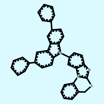 c1ccc(-c2ccc3c(c2)c2cc(-c4ccccc4)ccc2n3-c2ccc3nc4n(c3c2)-c2ccccc2CS4)cc1